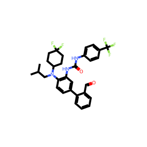 CC(C)CN(c1ccc(-c2ccccc2C=O)cc1NC(=O)Nc1ccc(C(F)(F)F)cc1)C1CCC(F)(F)CC1